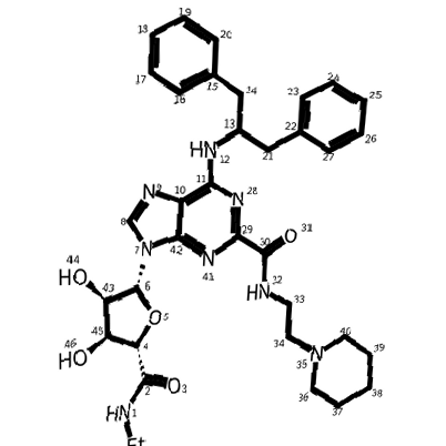 CCNC(=O)[C@H]1O[C@@H](n2cnc3c(NC(Cc4ccccc4)Cc4ccccc4)nc(C(=O)NCCN4CCCCC4)nc32)[C@H](O)[C@@H]1O